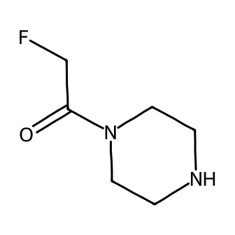 O=C(CF)N1CCNCC1